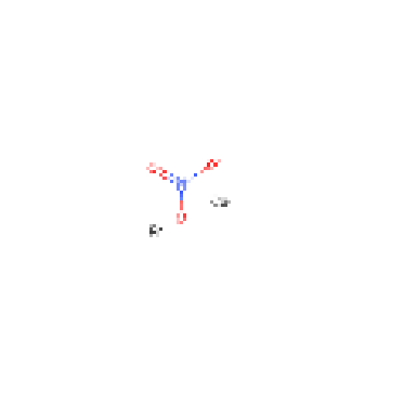 O=[N+]([O-])[O-].[Co].[Rh]